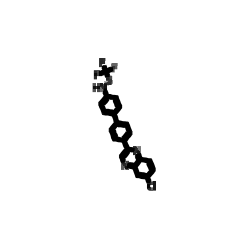 FC(F)(F)SNc1ccc(-c2ccc(-c3cnc4cc(Cl)ccc4n3)cc2)cc1